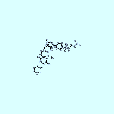 CCCCN1C(=O)[C@H](CC2CCCCC2)NC(=O)C12CCN(Cc1c(C)nn(-c3ccc(S(=O)(=O)NCCN(C)C)cc3)c1C)CC2